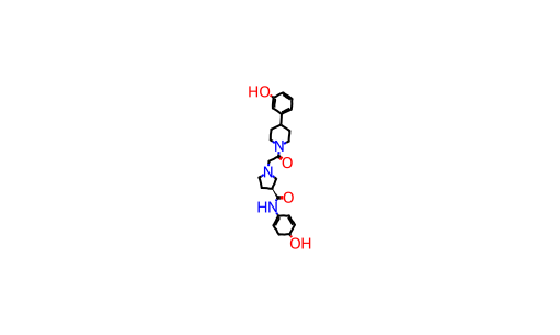 O=C(NC1=CCC(O)C=C1)[C@H]1CCN(CC(=O)N2CCC(c3cccc(O)c3)CC2)C1